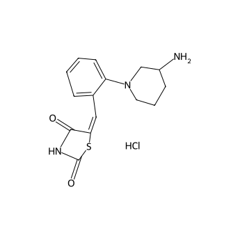 Cl.NC1CCCN(c2ccccc2C=C2SC(=O)NC2=O)C1